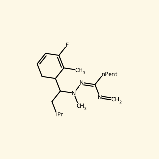 C=N/C(CCCCC)=N\N(C)C(CC(C)C)C1CC=CC(F)=C1C